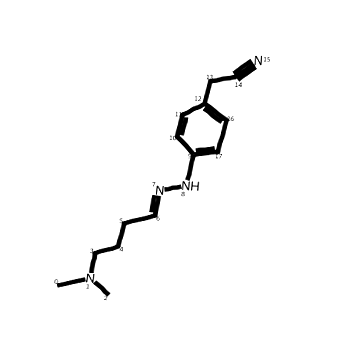 CN(C)CCCC=NNc1ccc(CC#N)cc1